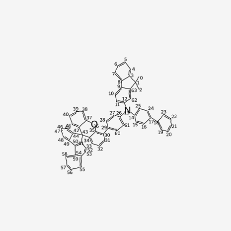 CC1(C)c2ccccc2-c2ccc(N(c3ccc(-c4ccccc4)cc3)c3ccc(-c4cccc5c4Oc4ccccc4C54c5ccccc5-c5c4ccc4ccccc54)cc3)cc21